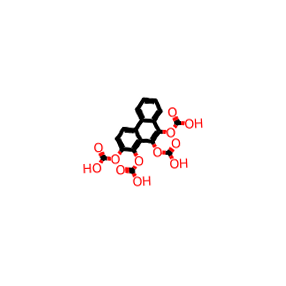 O=C(O)Oc1ccc2c(c1OC(=O)O)c(OC(=O)O)c(OC(=O)O)c1ccccc12